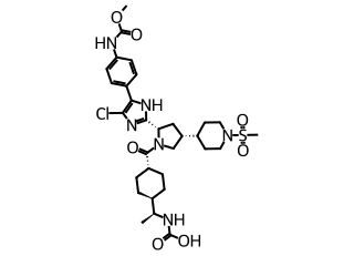 COC(=O)Nc1ccc(-c2[nH]c([C@@H]3C[C@H](C4CCN(S(C)(=O)=O)CC4)CN3C(=O)[C@H]3CC[C@H]([C@H](C)NC(=O)O)CC3)nc2Cl)cc1